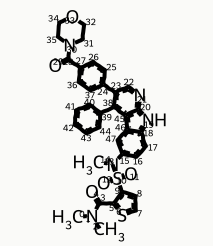 CN(C)C(=O)c1sccc1S(=O)(=O)N(C)c1ccc2[nH]c3ncc(-c4ccc(C(=O)N5CCOCC5)cc4)c(-c4ccccc4)c3c2c1